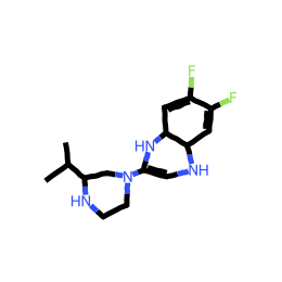 CC(C)C1CN(C2=CNC3C=C(F)C(F)=CC3N2)CCN1